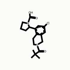 CC(C)(C)C(=O)N1CCc2c(cc(Cl)cc2C2CCCN2C(=O)O)C1